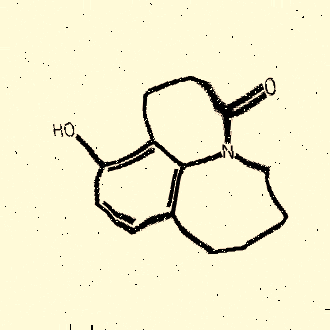 O=C1CCc2c(O)ccc3c2N1CCCC3